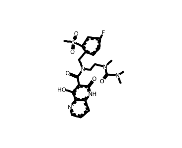 CN(C)C(=O)N(C)CCN(Cc1ccc(F)cc1S(C)(=O)=O)C(=O)c1c(O)c2ncccc2[nH]c1=O